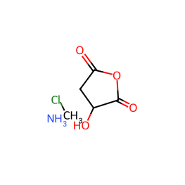 CCl.N.O=C1CC(O)C(=O)O1